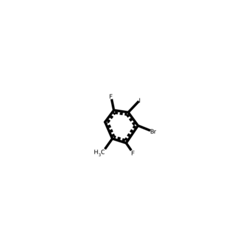 Cc1cc(F)c(I)c(Br)c1F